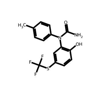 Cc1ccc(N(C(N)=O)c2cc(SC(F)(F)F)ccc2O)cc1